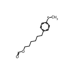 CSc1ccc(CCCCCCO[C]=O)cc1